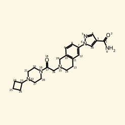 NC(=O)c1cnn(-c2ccc3c(c2)CCN(CC(=O)N2CCN(C4CCC4)CC2)C3)c1